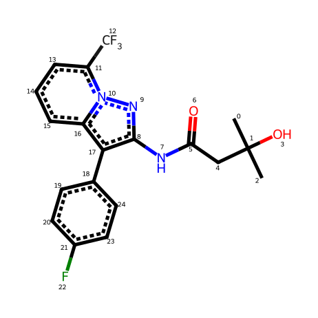 CC(C)(O)CC(=O)Nc1nn2c(C(F)(F)F)cccc2c1-c1ccc(F)cc1